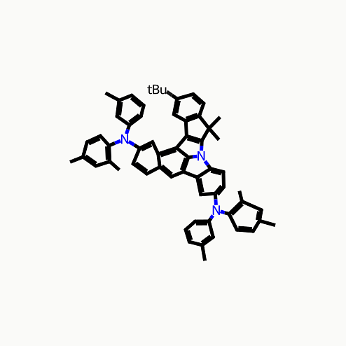 Cc1cccc(N(c2ccc3cc4c5cc(N(c6cccc(C)c6)c6ccc(C)cc6C)ccc5n5c6c(c(c3c2)c45)-c2cc(C(C)(C)C)ccc2C6(C)C)c2ccc(C)cc2C)c1